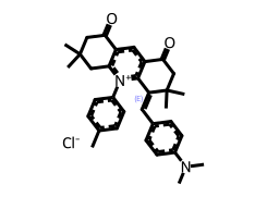 Cc1ccc(-[n+]2c3c(cc4c2/C(=C/c2ccc(N(C)C)cc2)C(C)(C)CC4=O)C(=O)CC(C)(C)C3)cc1.[Cl-]